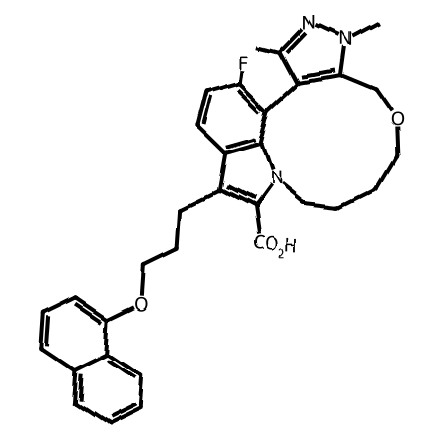 Cc1nn(C)c2c1-c1c(F)ccc3c(CCCOc4cccc5ccccc45)c(C(=O)O)n(c13)CCCCOC2